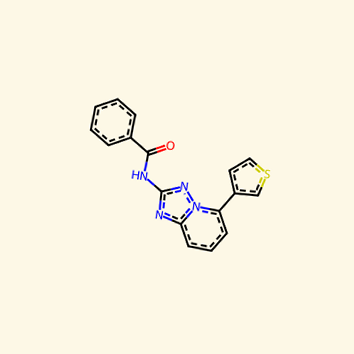 O=C(Nc1nc2cccc(-c3ccsc3)n2n1)c1ccccc1